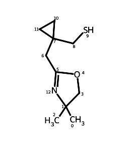 CC1(C)COC(CC2(CS)CC2)=N1